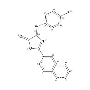 O=C1OC(c2ccc3ccccc3c2)=N/C1=C\c1ccc(F)cc1